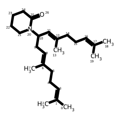 CC(C)=CCC/C(C)=C/CC(/C=C(\C)CCC=C(C)C)N1CCCCC1=O